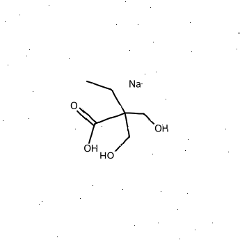 CCC(CO)(CO)C(=O)O.[Na]